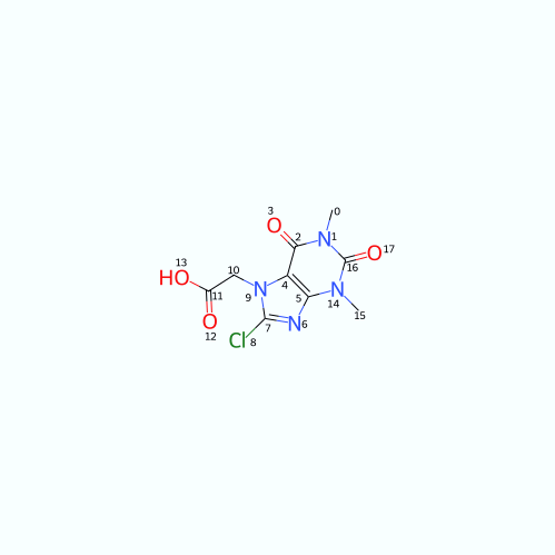 Cn1c(=O)c2c(nc(Cl)n2CC(=O)O)n(C)c1=O